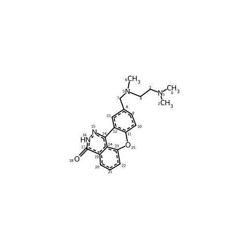 CN(C)CCN(C)Cc1ccc2c(c1)-c1n[nH]c(=O)c3cccc(c13)O2